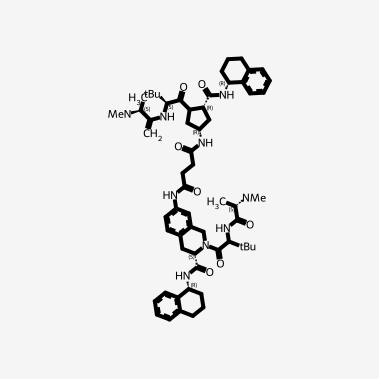 C=C(N[C@H](C(=O)C1C[C@@H](NC(=O)CCC(=O)Nc2ccc3c(c2)CN(C(=O)C(NC(=O)[C@H](C)NC)C(C)(C)C)[C@H](C(=O)N[C@@H]2CCCc4ccccc42)C3)C[C@H]1C(=O)N[C@@H]1CCCc2ccccc21)C(C)(C)C)[C@H](C)NC